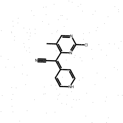 Cc1cnc(Cl)nc1C(C#N)=C1C=CNC=C1